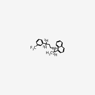 [2H]C([2H])(CCN[C@]([2H])(C)c1cccc2ccccc12)c1cccc(C(F)(F)F)c1